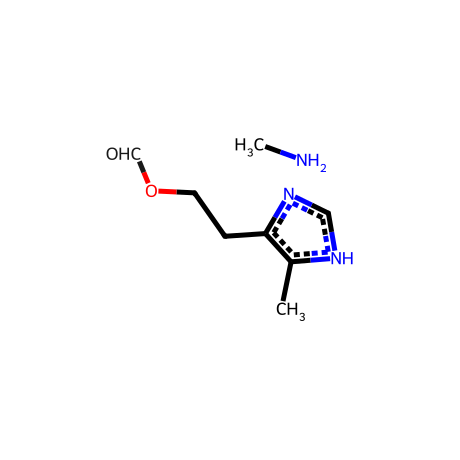 CN.Cc1[nH]cnc1CCOC=O